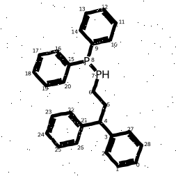 c1ccc(C(CCPP(c2ccccc2)c2ccccc2)c2ccccc2)cc1